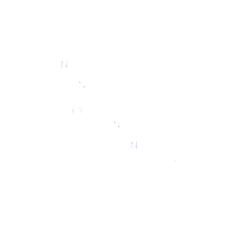 CC(Cc1ccc2ccn[n+](C(C)C)c2c1)[n+]1cc2ccccc2cn1